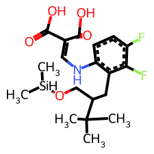 C[SiH](C)OCC(Cc1c(NC=C(C(=O)O)C(=O)O)ccc(F)c1F)C(C)(C)C